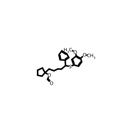 COc1ccc(SC(CCCCC2(OC=O)CCCC2)c2ccccc2)cc1OC